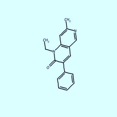 CCn1c(=O)c(-c2ccccc2)cc2cnc(C)cc21